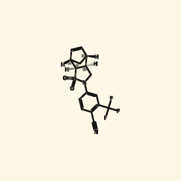 N#Cc1ccc(N2C[C@H]3[C@H]([C@@H]4C=C[C@H]3C4)S2(=O)=O)cc1C(F)(F)F